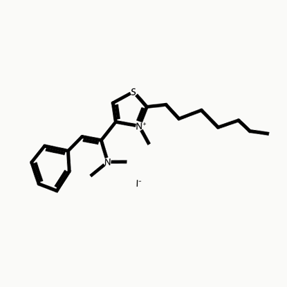 CCCCCCCc1scc(C(=Cc2ccccc2)N(C)C)[n+]1C.[I-]